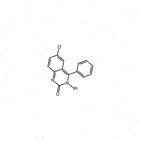 CC(C)n1c(-c2ccccc2)c2cc(Cl)ccc2nc1=O